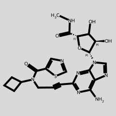 CNC(=O)[C@H]1O[C@@H](n2cnc3c(N)nc(C#CCN(C(=O)c4cncs4)C4CCC4)nc32)[C@H](O)C1O